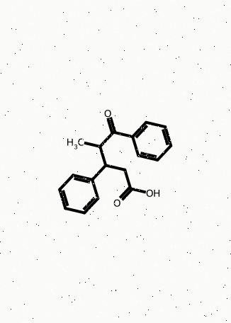 CC(C(=O)c1ccccc1)C(CC(=O)O)c1ccccc1